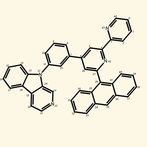 c1ccc(-c2cc(-c3cccc(-n4c5ccccc5c5ccncc54)c3)cc(-c3c4ccccc4cc4ccccc34)n2)nc1